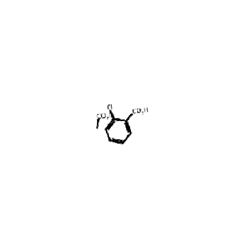 CC(=O)O.O=C(O)c1ccccc1Cl